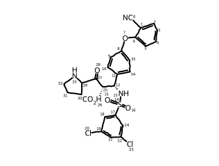 N#Cc1ccccc1Oc1ccc([C@H](NS(=O)(=O)c2cc(Cl)cc(Cl)c2)[C@H](C(=O)O)C(=O)C2CCCN2)cc1